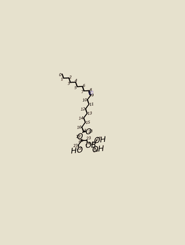 CCCCCCCC/C=C\CCCCCCCC(=O)OC(CO)COB(O)O